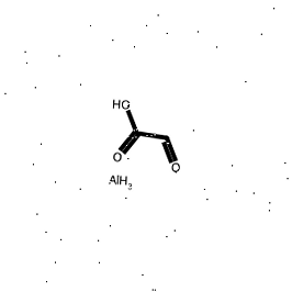 O=CC(=O)O.[AlH3]